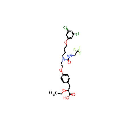 CCOC(Cc1ccc(OCCN(CCCCOc2cc(Cl)cc(Cl)c2)C(=O)NCC(F)(F)F)cc1)C(=O)O